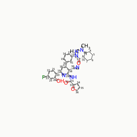 CN(C)[C@@H]1CCCC[C@@H]1C(=O)Nc1cccc(-c2cc(-c3ccc(F)cc3O)nc(NC(=O)c3ccco3)c2C#N)c1